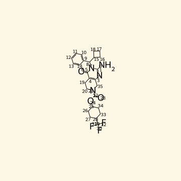 Nc1nc2c(c(=O)n1C(c1ccccc1)C1CCC1)CCN(C(=O)O[C@H]1CC[C@H](C(F)(F)F)CC1)C2